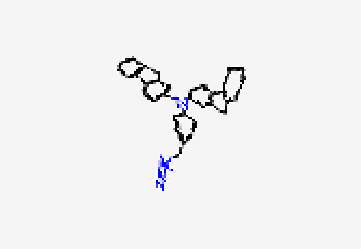 [N-]=[N+]=NCc1ccc(N(c2ccc3c(c2)Cc2ccccc2-3)c2ccc3c(c2)Cc2ccccc2-3)cc1